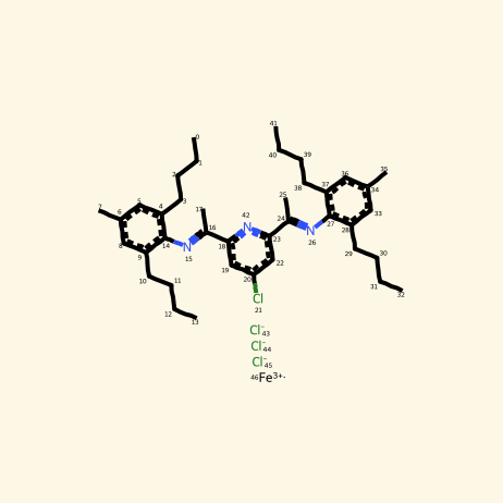 CCCCc1cc(C)cc(CCCC)c1N=C(C)c1cc(Cl)cc(C(C)=Nc2c(CCCC)cc(C)cc2CCCC)n1.[Cl-].[Cl-].[Cl-].[Fe+3]